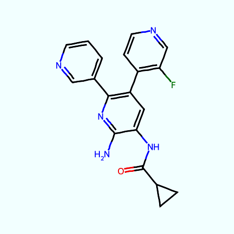 Nc1nc(-c2cccnc2)c(-c2ccncc2F)cc1NC(=O)C1CC1